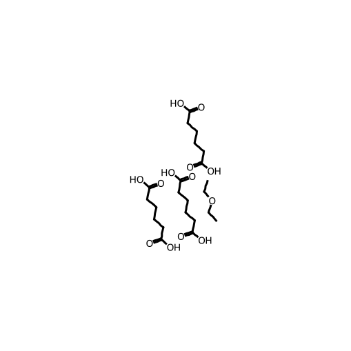 CCOCC.O=C(O)CCCCC(=O)O.O=C(O)CCCCC(=O)O.O=C(O)CCCCC(=O)O